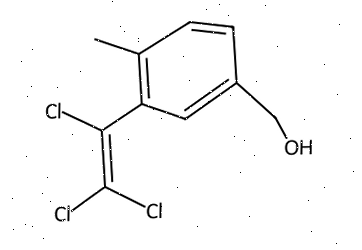 Cc1ccc(CO)cc1C(Cl)=C(Cl)Cl